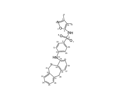 Cc1noc(NS(=O)(=O)c2ccc(Nc3cccc4c3CCc3ccccc3C4)cc2)c1C